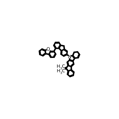 CC1(C)c2ccccc2-c2cc3c4c(n(-c5ccc6c(c5)Cc5cccc(-c7cccc8c7oc7ccccc78)c5-6)c3cc21)CCC=C4